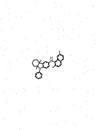 Cc1ccc2ccc(C)c(Nc3ccc4c(c3)C3(C)CCCCC3(C)N4c3ccccc3)c2c1